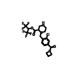 O=C(OC(C(F)(F)F)C(F)(F)F)C1CNCCN1Cc1ccc(C(=O)N2CCC2)cc1Cl